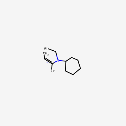 C/C=C(/C(C)C)N(CC(C)C)C1CCCCC1